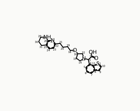 O=C(O)C(c1cccc2ccsc12)N1CCC(OCCCCc2ccc3c(n2)NCCC3)C1